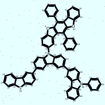 c1ccc(-c2c3oc4ccc(-n5c6ccc(-c7ccc8sc9ccccc9c8c7)cc6c6cc(-c7ccc8c(c7)c7ccccc7n8-c7ccccc7)ccc65)cc4c3c(-c3ccccc3)c3oc4ccccc4c23)cc1